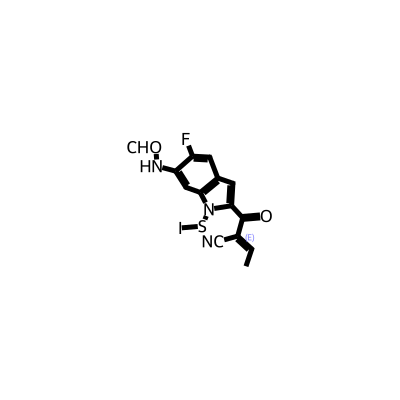 C/C=C(\C#N)C(=O)c1cc2cc(F)c(NC=O)cc2n1SI